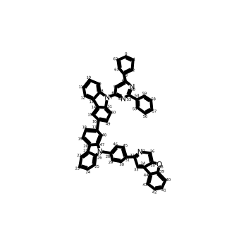 c1ccc(-c2cc(-n3c4ccccc4c4cc(-c5ccc6c7ccccc7n(-c7ccc(-c8cc9c(cn8)oc8ccccc89)cc7)c6c5)ccc43)nc(-c3ccccc3)n2)cc1